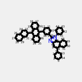 c1ccc(-c2cc3nc(-c4cccc(-c5c6ccccc6c(-c6ccc7ccccc7c6)c6ccccc56)c4)n(-c4ccccc4)c3c3ccccc23)cc1